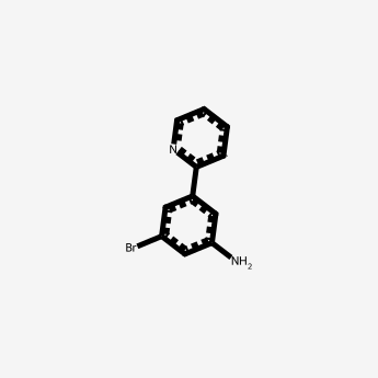 Nc1cc(Br)cc(-c2[c]cccn2)c1